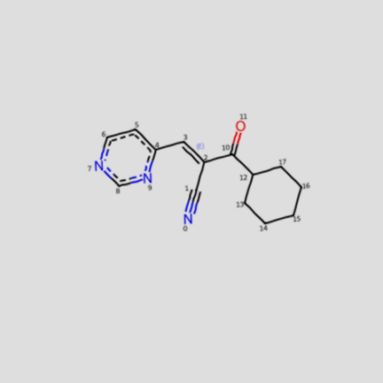 N#C/C(=C\c1ccncn1)C(=O)C1CCCCC1